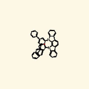 c1ccc(-c2cccc(-n3c4ccccc4c4ccc5c6ccccc6n(-c6cc(-c7ccccc7)cc(-c7ccccc7)c6)c5c43)c2)cc1